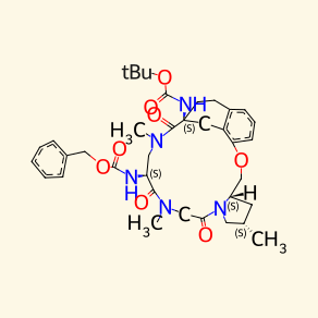 C[C@H]1C[C@H]2COc3cccc4c3C[C@@](NC(=O)OC(C)(C)C)(CC4)C(=O)N(C)C[C@H](NC(=O)OCc3ccccc3)C(=O)N(C)CC(=O)N2C1